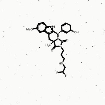 COc1ccc2[nH]c3c(c2c1)C[C@@]1(C)C(=O)N(CCCNCC(F)F)C(=O)N1[C@@H]3C1=CC(O)CC=C1